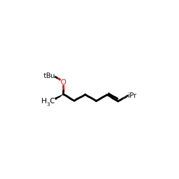 CC(C)/C=C/CCC[C@@H](C)OC(C)(C)C